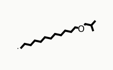 [CH2]CCCCCCCCCCCOCC(C)C